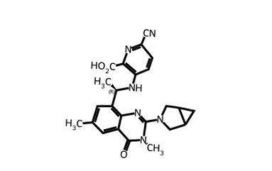 Cc1cc([C@@H](C)Nc2ccc(C#N)nc2C(=O)O)c2nc(N3CC4CC4C3)n(C)c(=O)c2c1